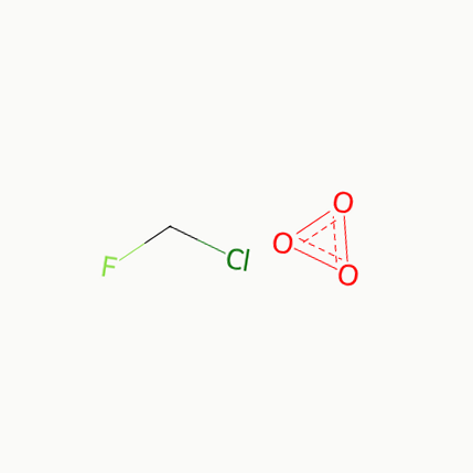 FCCl.o1oo1